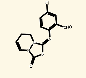 O=Cc1cc(Cl)ccc1/N=c1/sc(=O)n2n1CCC=C2